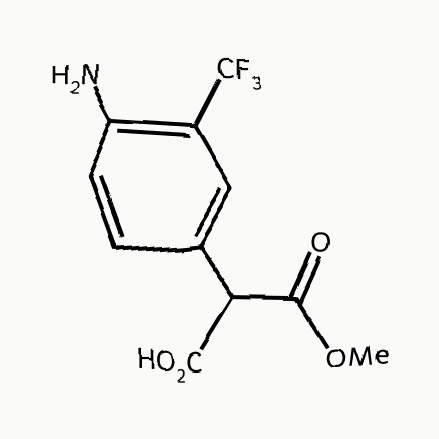 COC(=O)C(C(=O)O)c1ccc(N)c(C(F)(F)F)c1